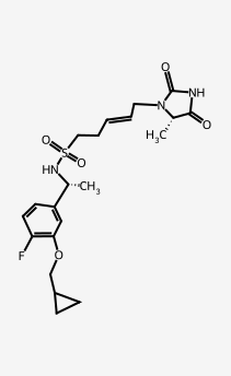 C[C@@H](NS(=O)(=O)CC/C=C/CN1C(=O)NC(=O)[C@@H]1C)c1ccc(F)c(OCC2CC2)c1